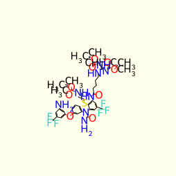 CC(C)(C)OC(=O)N=C(NCCCCC(=O)Nc1cc(C(F)(F)F)cc(N(C(N)=O)c2cccc(Oc3cc(N)cc(C(F)(F)F)c3)c2)c1SCCNC(=O)OC(C)(C)C)NC(=O)OC(C)(C)C